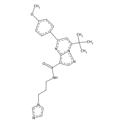 COc1ccc(-c2cc(C(C)(C)C)n3ncc(C(=O)NCCCn4ccnc4)c3n2)cc1